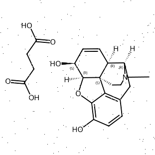 CN1CC[C@]23c4c5ccc(O)c4O[C@H]2[C@@H](O)C=C[C@H]3[C@H]1C5.O=C(O)CCC(=O)O